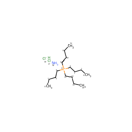 CCCC[P+](CCCC)(CCCC)CCCC.Cl.N.[Cl-]